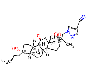 CCC[C@@]1(O)CC[C@H]2[C@H](CC[C@@H]3[C@@H]2C(=O)C[C@@]2(C)[C@H]3CC[C@]2(O)[C@H](C)Cn2cc(C#N)cn2)C1